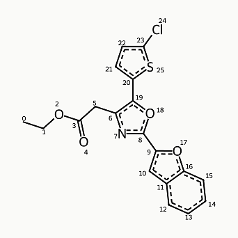 CCOC(=O)Cc1nc(-c2cc3ccccc3o2)oc1-c1ccc(Cl)s1